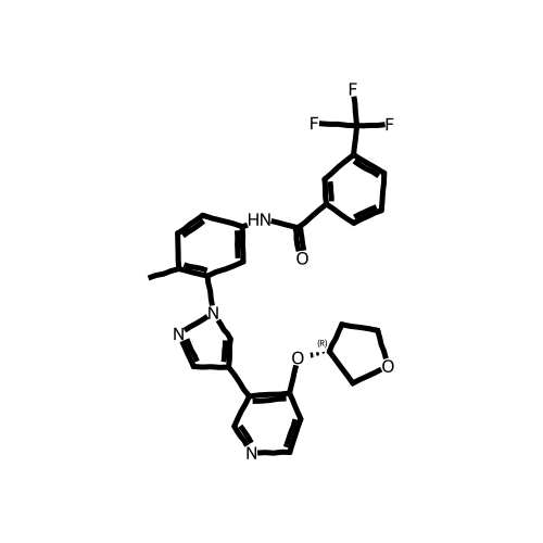 Cc1ccc(NC(=O)c2cccc(C(F)(F)F)c2)cc1-n1cc(-c2cnccc2O[C@@H]2CCOC2)cn1